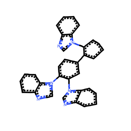 c1ccc(-n2cnc3ccccc32)c(-c2ccc(-n3cnc4ccccc43)c(-n3cnc4ccccc43)c2)c1